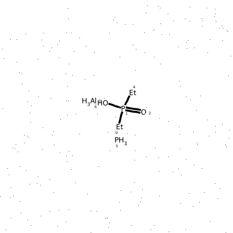 CCP(=O)(O)CC.P.[AlH3]